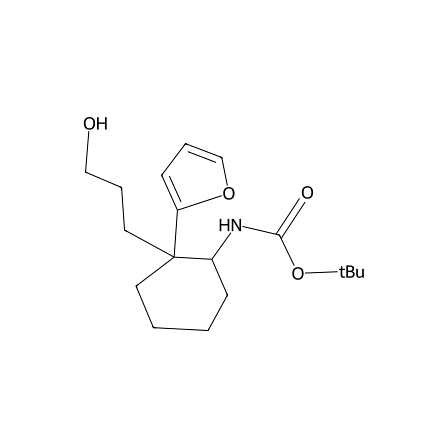 CC(C)(C)OC(=O)NC1CCCCC1(CCCO)c1ccco1